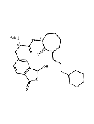 CC(=O)N[C@@H](Cc1ccc2c(c1)C(O)OC2=O)C(=O)N[C@H]1CCCCN(CCCC2CCCCC2)C1=O